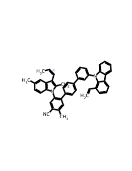 C=Cc1cccc2c3ccccc3n(-c3cccc(-c4ccc(-c5cc(C)c(C#N)cc5-n5c(C)c(/C=C\C)c6cc(C)ccc65)cc4)c3)c12